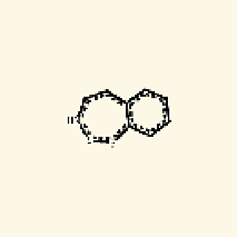 c1ccc2ss[nH]ccc2c1